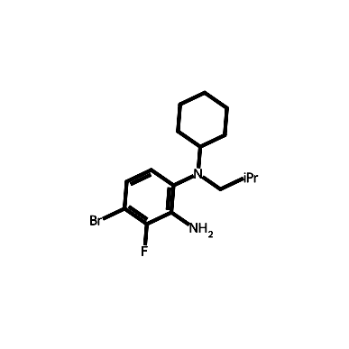 CC(C)CN(c1ccc(Br)c(F)c1N)C1CCCCC1